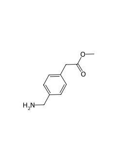 COC(=O)Cc1ccc(CN)cc1